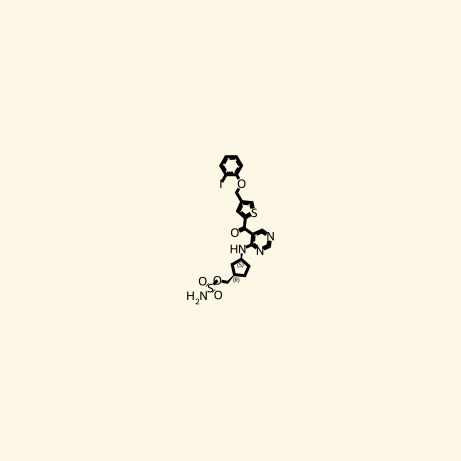 NS(=O)(=O)OC[C@@H]1CC[C@H](Nc2ncncc2C(=O)c2cc(COc3ccccc3I)cs2)C1